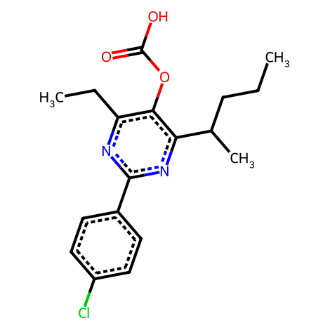 CCCC(C)c1nc(-c2ccc(Cl)cc2)nc(CC)c1OC(=O)O